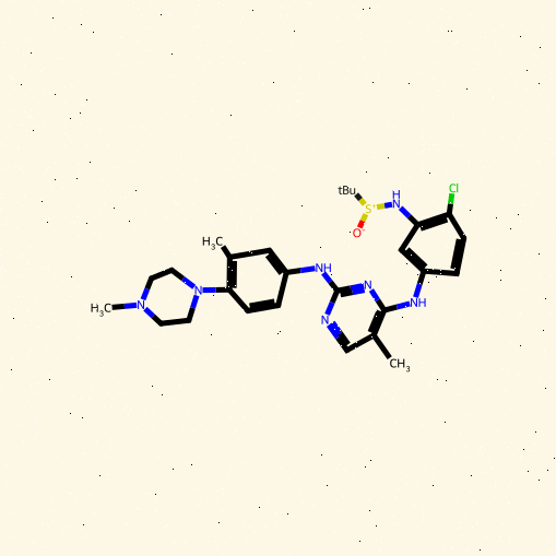 Cc1cc(Nc2ncc(C)c(Nc3ccc(Cl)c(N[S+]([O-])C(C)(C)C)c3)n2)ccc1N1CCN(C)CC1